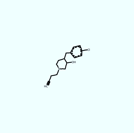 C#CCCN1CCC(Cc2ccc(Cl)cc2)C(O)C1